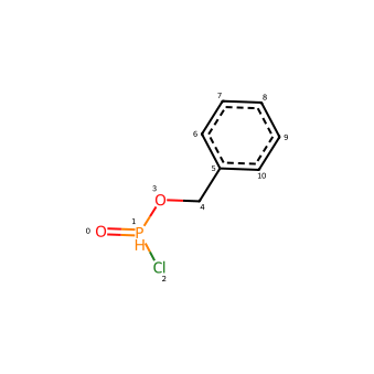 O=[PH](Cl)OCc1ccccc1